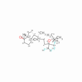 C[C@H](CCCC(O[Si](C)(C)C)(C(F)F)C(F)F)[C@H]1CC[C@H]2C(=O)CCC[C@]12C